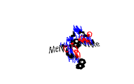 CN[C@@H](C)C(=O)N[C@@H](Cc1cn(CCCn2cc(C[C@H](NC(=O)[C@H](C)NC)C(=O)N3CCC[C@H]3C(=O)N[C@@H]3CCCc4ccccc43)nn2)nn1)C(=O)N1CCC[C@H]1C(=O)NC1CCCc2ccccc21